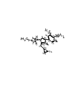 CCN1C[C@@H]2[C@H](C1)[C@H]2n1cc(-c2cnc(N)c(C)c2)nc1CC1CC1